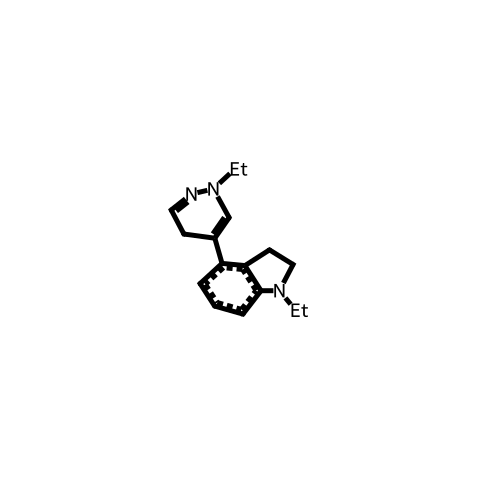 CCN1C=C(c2cccc3c2CCN3CC)CC=N1